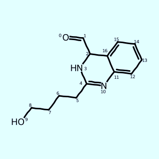 O=CC1NC(CCCCO)=Nc2ccccc21